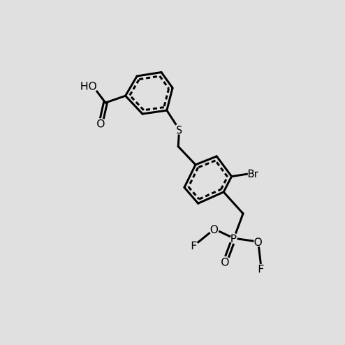 O=C(O)c1cccc(SCc2ccc(CP(=O)(OF)OF)c(Br)c2)c1